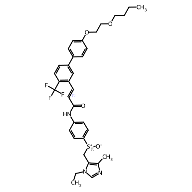 CCCCOCCOc1ccc(-c2ccc(C(F)(F)F)c(/C=C/C(=O)Nc3ccc([S@+]([O-])Cc4c(C)ncn4CC)cc3)c2)cc1